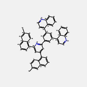 Cc1ccc2c(-c3cc(-c4cc(-c5ccnc6ccccc56)cc(-c5ccnc6ccccc56)c4)nc(-c4cccc5cc(C)ccc45)c3)cccc2c1